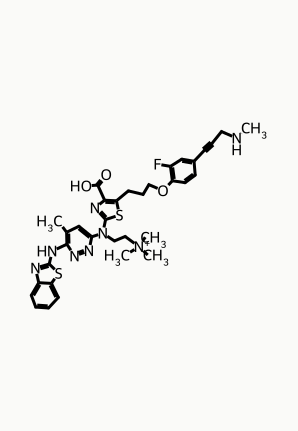 CNCC#Cc1ccc(OCCCc2sc(N(CC[N+](C)(C)C)c3cc(C)c(Nc4nc5ccccc5s4)nn3)nc2C(=O)O)c(F)c1